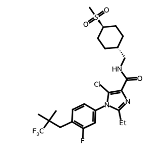 CCc1nc(C(=O)NC[C@H]2CC[C@H](S(C)(=O)=O)CC2)c(Cl)n1-c1ccc(CC(C)(C)C(F)(F)F)c(F)c1